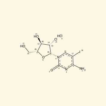 Cl.Nc1nc(=O)n([C@@H]2O[C@H](CO)[C@@H](O)[C@@H]2Cl)cc1I